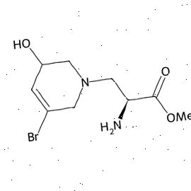 COC(=O)[C@@H](N)CN1CC(Br)=CC(O)C1